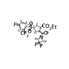 CCOC(=O)C1CC(S(=O)(=O)c2ccc(F)cc2C(F)(F)F)CC1C(=O)N1CC(F)(F)C1